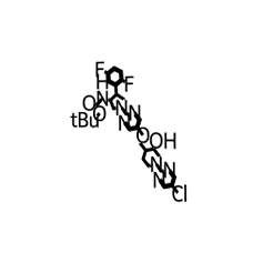 CC(C)(C)OC(=O)NC1CN(c2ncc(OCC3CCN(c4ncc(Cl)cn4)CC3O)cn2)CC1c1cc(F)ccc1F